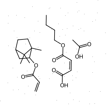 C=CC(=O)OC1CC2CCC1(C)C2(C)C.CC(=O)O.CCCCOC(=O)/C=C\C(=O)O